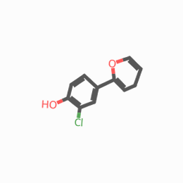 Oc1ccc(C2=CCC=CO2)cc1Cl